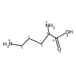 NCC[CH]C(N)C(=O)O